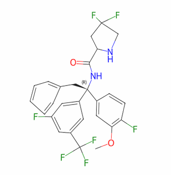 COc1cc([C@@](Cc2ccccc2)(NC(=O)C2CC(F)(F)CN2)c2cc(F)cc(C(F)(F)F)c2)ccc1F